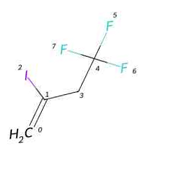 C=C(I)CC(F)(F)F